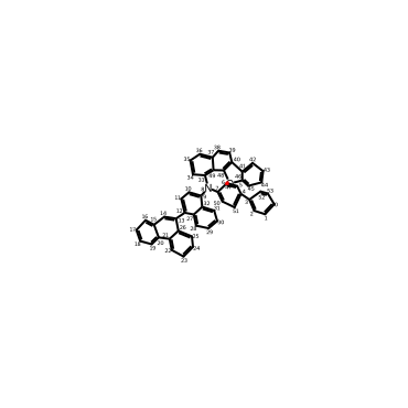 c1ccc(-c2ccc(N(c3ccc(-c4cc5ccccc5c5ccccc45)c4ccccc34)c3cccc4ccc5c6ccccc6oc5c34)cc2)cc1